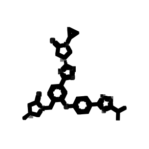 CC(C)c1nnc(-c2ccc(Oc3cc(-c4nc([C@@H]5CC(=O)N(C6CC6)C5)no4)ccc3CN3C[C@@H](C)CC3=O)cc2)s1